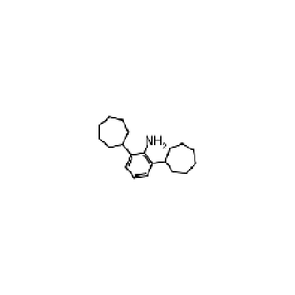 Nc1c(C2CCCCCC2)cccc1C1CCCCCC1